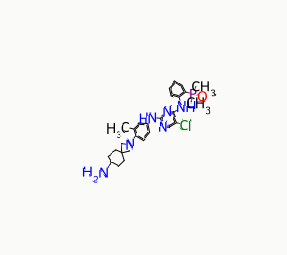 Cc1cc(Nc2ncc(Cl)c(Nc3ccccc3P(C)(C)=O)n2)ccc1N1CC2(CCC(N)CC2)C1